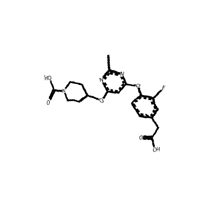 Cc1nc(Oc2ccc(CC(=O)O)cc2F)cc(OC2CCN(C(=O)O)CC2)n1